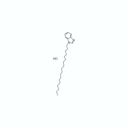 CCCCCCCCCCCCCCCCCCn1cnc2ccccc21.Cl